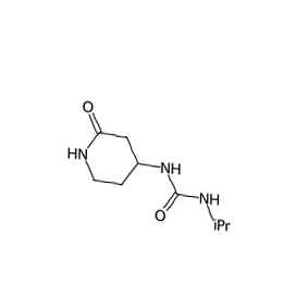 CC(C)NC(=O)NC1CCNC(=O)C1